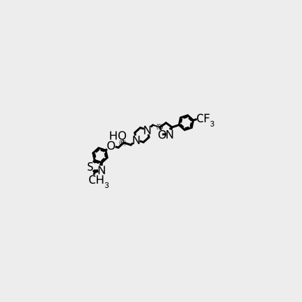 Cc1nc2cc(OC[C@H](O)CN3CCN(C[C@H]4CC(c5ccc(C(F)(F)F)cc5)=NO4)CC3)ccc2s1